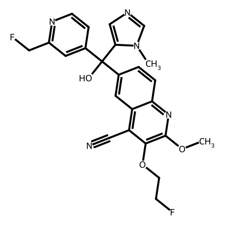 COc1nc2ccc(C(O)(c3ccnc(CF)c3)c3cncn3C)cc2c(C#N)c1OCCF